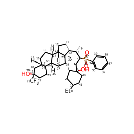 CCC1CCC(O)(CC([C@@H](C)[C@H]2CC[C@H]3[C@@H]4CC[C@H]5C[C@](O)(C(F)(F)F)CC[C@]5(C)[C@H]4CC[C@]23C)S(=O)(=O)c2ccccc2)CC1